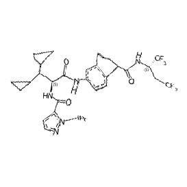 CC(C)n1nccc1C(=O)N[C@H](C(=O)Nc1ccc2c(c1)CCC2C(=O)N[C@@H](CC(F)(F)F)C(F)(F)F)C(C1CC1)C1CC1